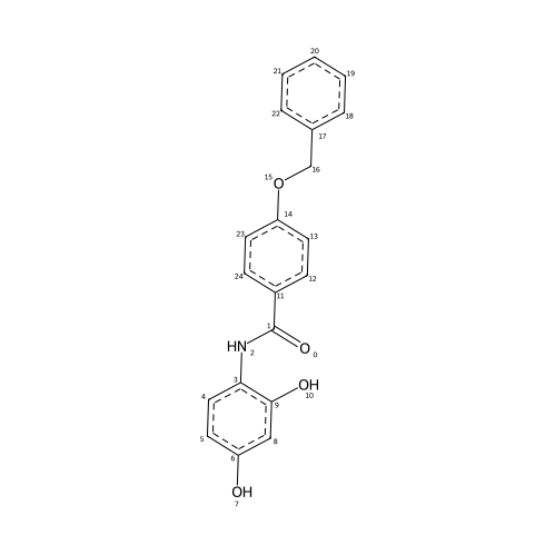 O=C(Nc1ccc(O)cc1O)c1ccc(OCc2ccccc2)cc1